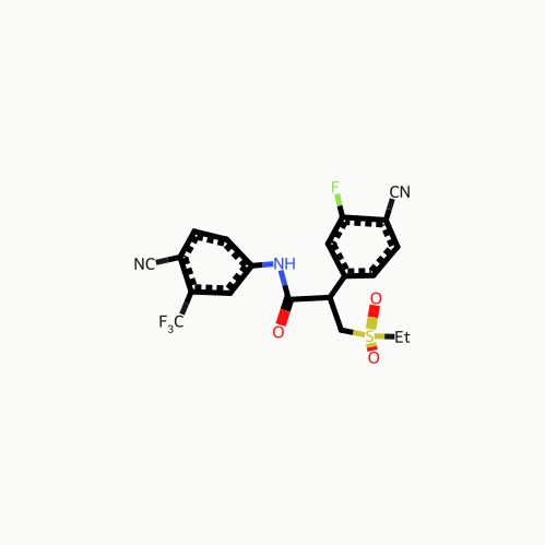 CCS(=O)(=O)CC(C(=O)Nc1ccc(C#N)c(C(F)(F)F)c1)c1ccc(C#N)c(F)c1